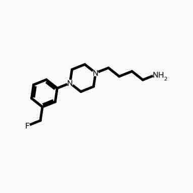 NCCCCN1CCN(c2cccc(CF)c2)CC1